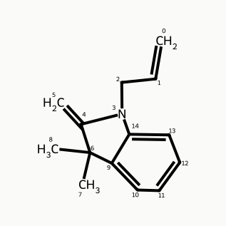 C=CCN1C(=C)C(C)(C)c2ccccc21